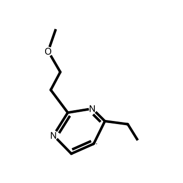 CCc1[c]cnc(CCOC)n1